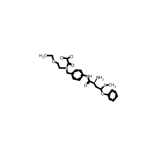 CCOCCN(Cc1ccc(NC(=O)[C@@H](N)CC(Oc2ccccc2)SC)cc1)C(=O)C(Cl)Cl